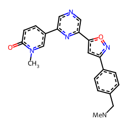 CNCc1ccc(-c2cc(-c3cncc(-c4ccc(=O)n(C)c4)n3)on2)cc1